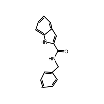 O=C(NCc1cc[c]cc1)c1cc2ccccc2[nH]1